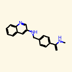 C=C(NC)c1ccc(CNc2cnc3ccccc3c2)cc1